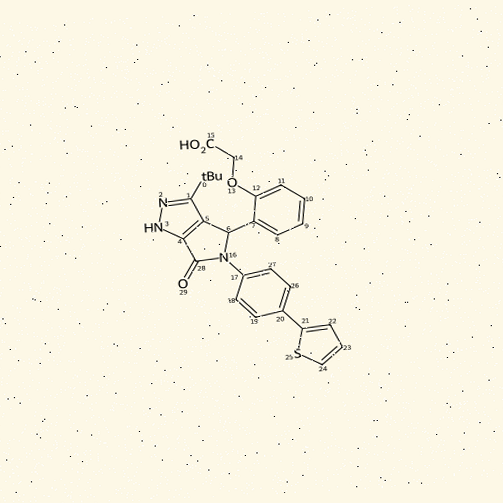 CC(C)(C)c1n[nH]c2c1C(c1ccccc1OCC(=O)O)N(c1ccc(-c3cccs3)cc1)C2=O